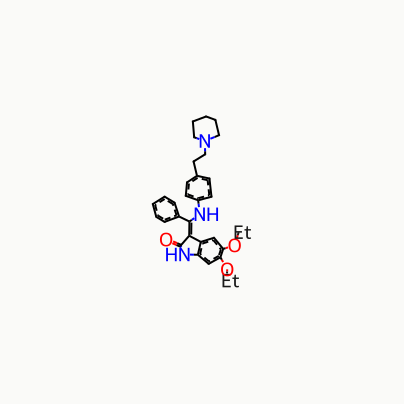 CCOc1cc2c(cc1OCC)C(=C(Nc1ccc(CCN3CCCCC3)cc1)c1ccccc1)C(=O)N2